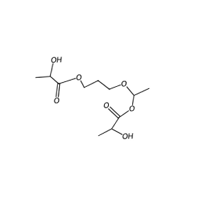 CC(OCCCOC(=O)C(C)O)OC(=O)C(C)O